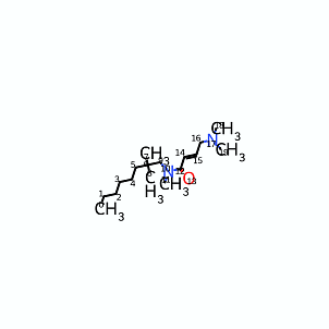 CCCCCCC(C)(C)CN(C)C(=O)/C=C/CN(C)C